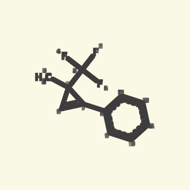 CC1(C(F)(F)F)C=C1c1ccccc1